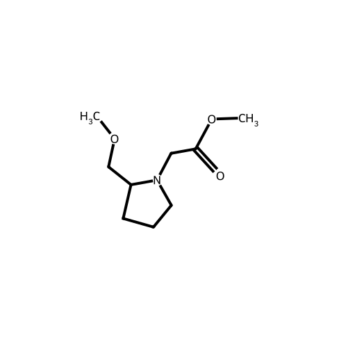 COCC1CCCN1CC(=O)OC